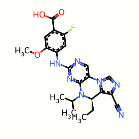 CC[C@@H]1c2c(C#N)ncn2-c2cnc(Nc3cc(F)c(C(=O)O)cc3OC)nc2N1C(C)C